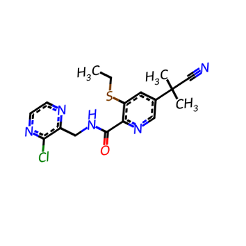 CCSc1cc(C(C)(C)C#N)cnc1C(=O)NCc1nccnc1Cl